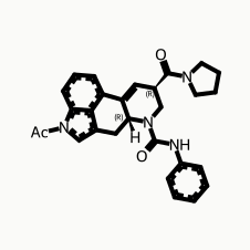 CC(=O)n1cc2c3c(cccc31)C1=C[C@@H](C(=O)N3CCCC3)CN(C(=O)Nc3ccccc3)[C@@H]1C2